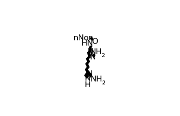 C=N/C(=C\N(N)CCNC(=O)CCCCCCCCC)CCCCCc1c[nH]c(N)n1